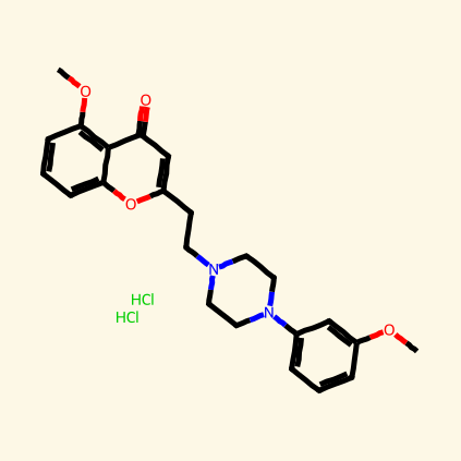 COc1cccc(N2CCN(CCc3cc(=O)c4c(OC)cccc4o3)CC2)c1.Cl.Cl